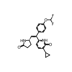 O=C1CC[C@H](/C=C(/c2ccc(OC(F)F)cc2)c2ccc(C3CC3)c(=O)[nH]2)N1